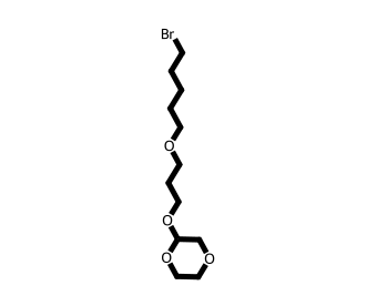 BrCCCCCOCCCOC1COCCO1